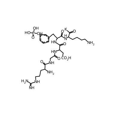 N=C(N)NCCCC(N)C(=O)NCC(=O)NC(CC(=O)O)C(=O)NC(Cc1ccccc1)C(=O)NC(CCCCN)[C](=O)[K].O=P(O)(O)O